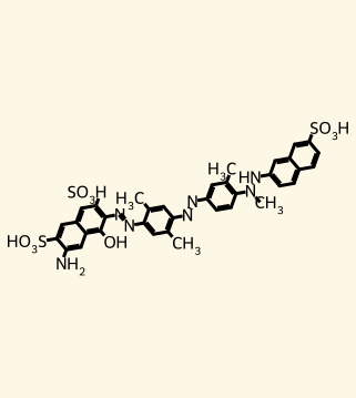 Cc1cc(N=Nc2c(S(=O)(=O)O)cc3cc(S(=O)(=O)O)c(N)cc3c2O)c(C)cc1N=Nc1ccc(N(C)Nc2ccc3ccc(S(=O)(=O)O)cc3c2)c(C)c1